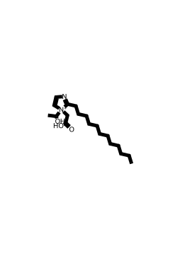 CCCCCCCCCCCCC1=NC=C[N+]1(CC(=O)O)C(C)O